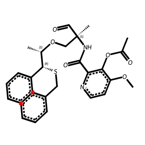 COc1ccnc(C(=O)N[C@](C)(C=O)CO[C@@H](C)[C@H](SCc2ccccc2)c2ccccc2)c1OC(C)=O